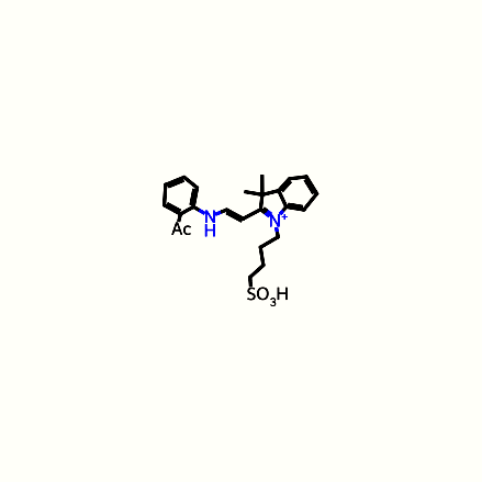 CC(=O)c1ccccc1NC=CC1=[N+](CCCCS(=O)(=O)O)c2ccccc2C1(C)C